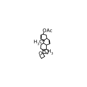 CC(=O)OC1C=C[C@@]2(C)C(C=CC3C2CC[C@@]2(C)C3CCC23CCCO3)C1